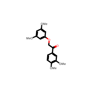 COc1cc(OC)cc(OCC(=O)c2ccc(OC)c(OC)c2)c1